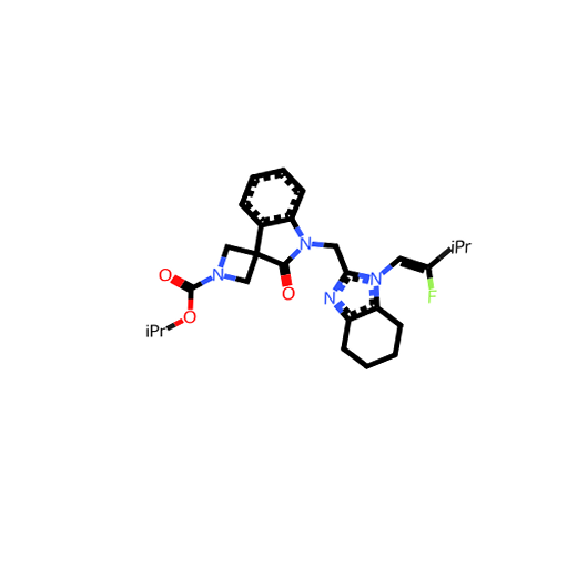 CC(C)OC(=O)N1CC2(C1)C(=O)N(Cc1nc3c(n1C=C(F)C(C)C)CCCC3)c1ccccc12